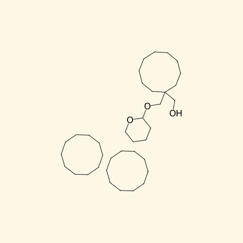 C1CCCCCCCCC1.C1CCCCCCCCC1.OCC1(COC2CCCCO2)CCCCCCCCC1